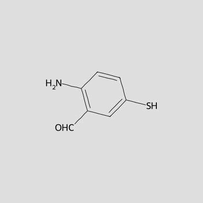 Nc1ccc(S)cc1C=O